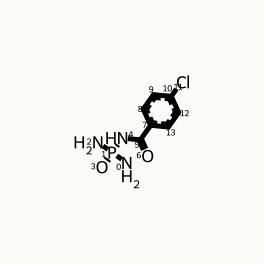 NP(N)(=O)NC(=O)c1ccc(Cl)cc1